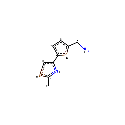 Cc1nc(-c2ccc(CN)s2)cs1